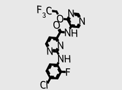 O=C(Nc1cncnc1OCC(F)(F)F)c1ccnc(Nc2ccc(Cl)cc2F)n1